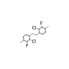 Cc1ccc(CCc2ccc(C)c(F)c2Cl)c(Cl)c1F